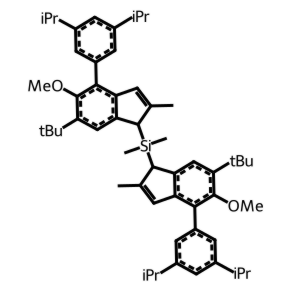 COc1c(C(C)(C)C)cc2c(c1-c1cc(C(C)C)cc(C(C)C)c1)C=C(C)C2[Si](C)(C)C1C(C)=Cc2c1cc(C(C)(C)C)c(OC)c2-c1cc(C(C)C)cc(C(C)C)c1